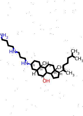 CC(C)CCCC(C)[C@H]1CCC2C3C(CC[C@@]21C)[C@@]1(C)CC[C@H](NCCCNCCCCN)C[C@@H]1C[C@H]3O